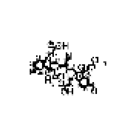 CCCCC1(C)C(/C=C/C(C#N)=C/C=C2/N(CCC(=O)O)c3ccc(F)cc3C2(C)CCC)=[N+](CCC(=O)O)c2ccc(C=O)cc21